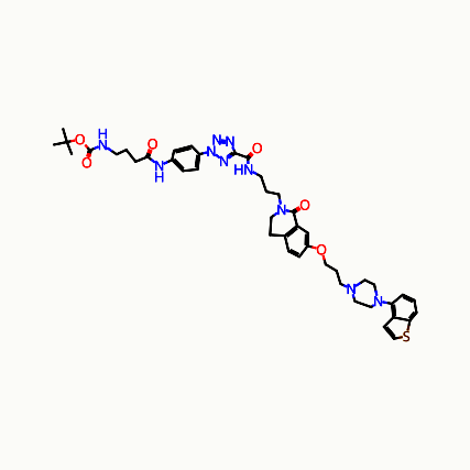 CC(C)(C)OC(=O)NCCCC(=O)Nc1ccc(-n2nnc(C(=O)NCCCN3CCc4ccc(OCCCN5CCN(c6cccc7sccc67)CC5)cc4C3=O)n2)cc1